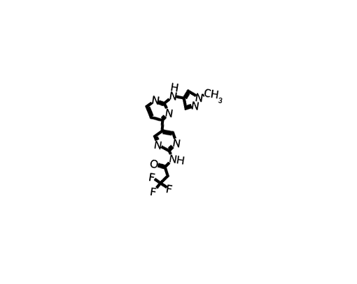 Cn1cc(Nc2nccc(-c3cnc(NC(=O)CC(F)(F)F)nc3)n2)cn1